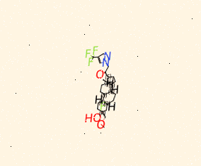 COC[C@@]1(O)CC[C@@]2(F)[C@H](CC[C@H]3[C@@H]4CC[C@H](C(=O)Cn5cc(C(F)(F)F)cn5)[C@@]4(C)CC[C@@H]32)C1